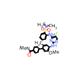 CNC(=O)c1ccc(-c2cc(OC)c(Nc3ncc(F)c(Nc4ccccc4S(=O)(=O)N(C)C)n3)cc2C)cc1